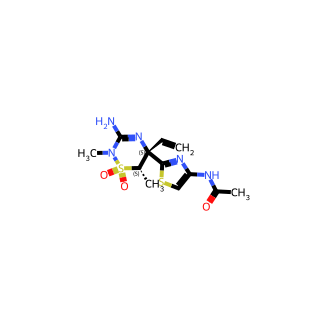 C=C[C@]1(c2nc(NC(C)=O)cs2)N=C(N)N(C)S(=O)(=O)[C@H]1C